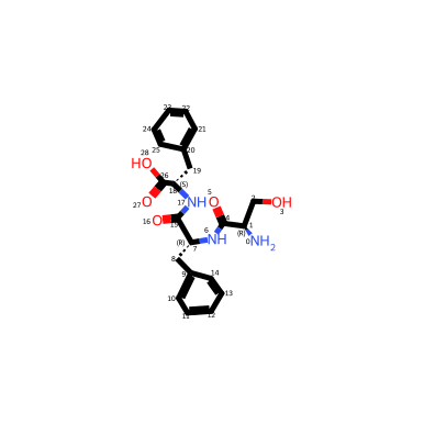 N[C@H](CO)C(=O)N[C@H](Cc1ccccc1)C(=O)N[C@@H](Cc1ccccc1)C(=O)O